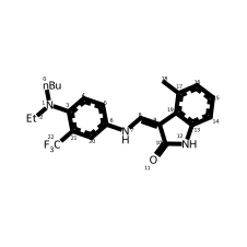 CCCCN(CC)c1ccc(NC=C2C(=O)Nc3cccc(C)c32)cc1C(F)(F)F